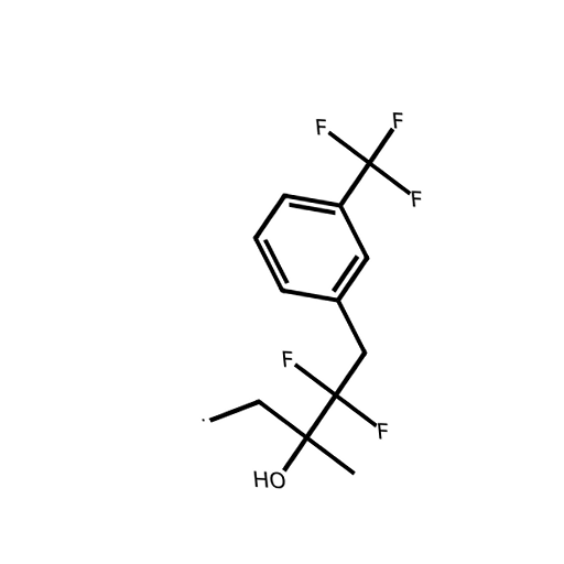 [CH2]CC(C)(O)C(F)(F)Cc1cccc(C(F)(F)F)c1